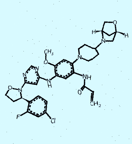 C=CC(=O)Nc1cc(Nc2cc(N3OCC[C@@H]3c3ccc(Cl)cc3F)ncn2)c(OC)cc1N1CCC(N2C[C@@H]3C[C@H]2CO3)CC1